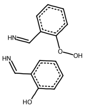 N=Cc1ccccc1O.N=Cc1ccccc1OO